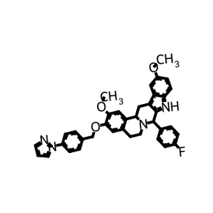 COc1ccc2[nH]c3c(c2c1)CC1c2cc(OC)c(OCc4ccc(-n5cccn5)cc4)cc2CCN1C3c1ccc(F)cc1